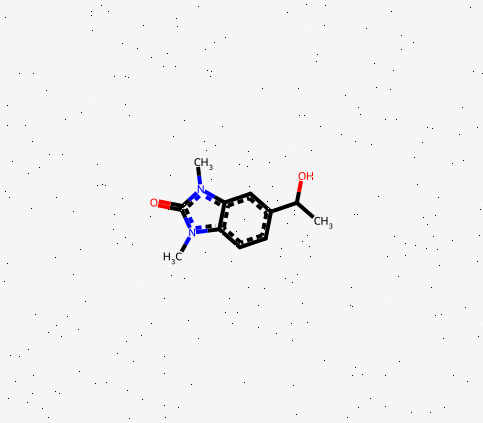 CC(O)c1ccc2c(c1)n(C)c(=O)n2C